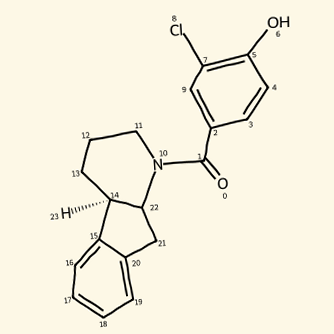 O=C(c1ccc(O)c(Cl)c1)N1CCC[C@@H]2c3ccccc3CC21